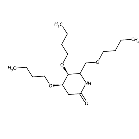 CCCCOCC1NC(=O)C[C@@H](OCCCC)[C@H]1OCCCC